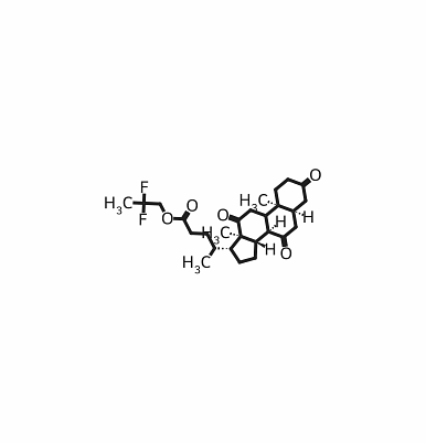 CC(CCC(=O)OCC(C)(F)F)[C@H]1CC[C@H]2[C@@H]3C(=O)C[C@@H]4CC(=O)CC[C@]4(C)C3CC(=O)[C@]12C